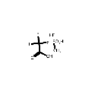 CS(=O)(=O)O.F.O=C(O)C(F)(F)F